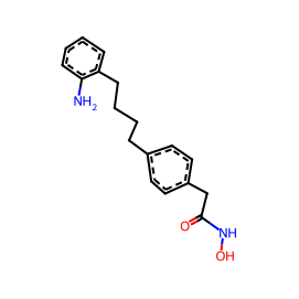 Nc1ccccc1CCCCc1ccc(CC(=O)NO)cc1